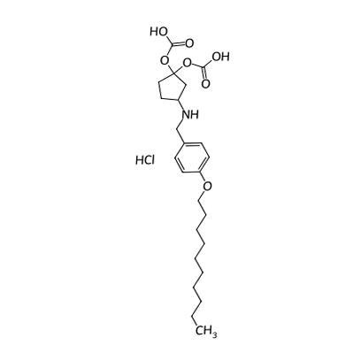 CCCCCCCCCCOc1ccc(CNC2CCC(OC(=O)O)(OC(=O)O)C2)cc1.Cl